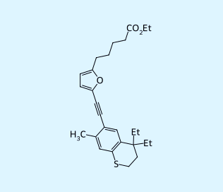 CCOC(=O)CCCCc1ccc(C#Cc2cc3c(cc2C)SCCC3(CC)CC)o1